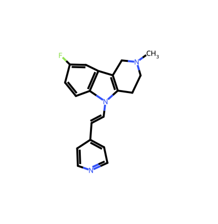 CN1CCc2c(c3cc(F)ccc3n2/C=C/c2ccncc2)C1